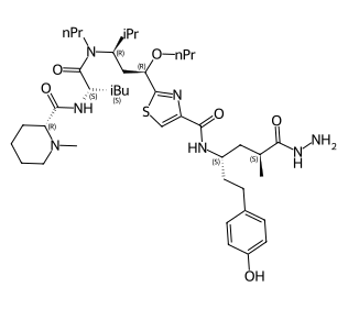 CCCO[C@H](C[C@H](C(C)C)N(CCC)C(=O)[C@@H](NC(=O)[C@H]1CCCCN1C)[C@@H](C)CC)c1nc(C(=O)N[C@@H](CCc2ccc(O)cc2)C[C@H](C)C(=O)NN)cs1